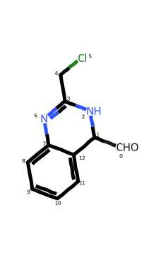 O=CC1NC(CCl)=Nc2ccccc21